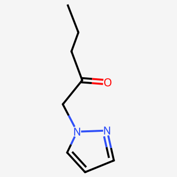 CCCC(=O)Cn1cccn1